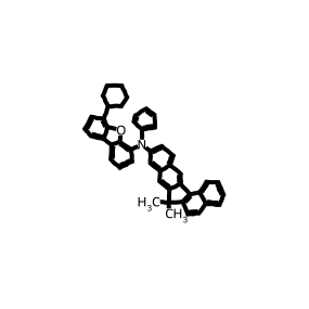 CC1(C)c2cc3cc(N(c4ccccc4)c4cccc5c4oc4c(C6CCCCC6)cccc45)ccc3cc2-c2c1ccc1ccccc21